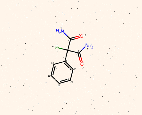 NC(=O)C(F)(C(N)=O)c1ccccc1